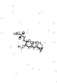 CCCCS(=O)(=O)CCC(=O)N(C)C[C@H](O)CN(C)C1CC1